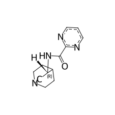 O=C(N[C@H]1CN2CCC1CC2)c1ncccn1